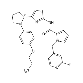 NCCOc1ccc(N2CCC[C@@H]2c2csc(NC(=O)c3cccn3Cc3ccnc(F)c3)n2)cc1